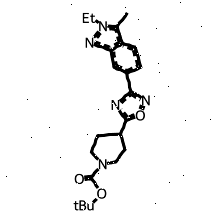 CCn1nc2cc(-c3noc(C4CCN(C(=O)OC(C)(C)C)CC4)n3)ccc2c1C